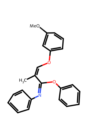 COc1cccc(OC=C(C)C(=Nc2ccccc2)Oc2ccccc2)c1